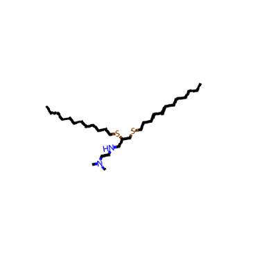 CCCCCCCCCCCCSCC(CNCCN(C)C)SCCCCCCCCCCCC